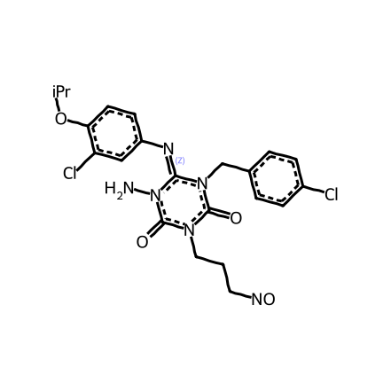 CC(C)Oc1ccc(/N=c2\n(N)c(=O)n(CCCN=O)c(=O)n2Cc2ccc(Cl)cc2)cc1Cl